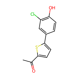 CC(=O)c1ccc(-c2ccc(O)c(Cl)c2)s1